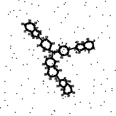 c1ccc2sc(-c3ccc(N(c4ccc(-c5nc6ccccc6s5)cc4)c4ccc5ccc(-c6cc7ccccc7s6)cc5c4)cc3)cc2c1